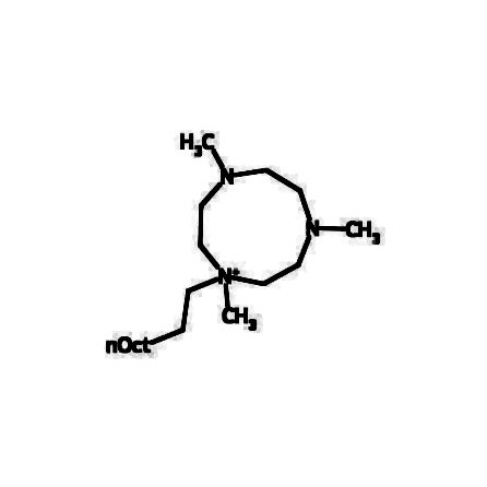 CCCCCCCCCC[N+]1(C)CCN(C)CCN(C)CC1